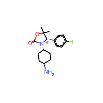 CC1(C)OC(=O)N([C@H]2CC[C@H](N)CC2)[C@H]1c1ccc(F)cc1